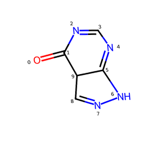 O=C1N=CN=C2NN=CC12